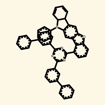 C1=CC2c3cc4oc5cccc(-c6nc(-c7cccc(-c8ccccc8)c7)nc(-c7cccc(-c8ccccc8)c7)n6)c5c4cc3N(c3ccccc3)C2C=C1